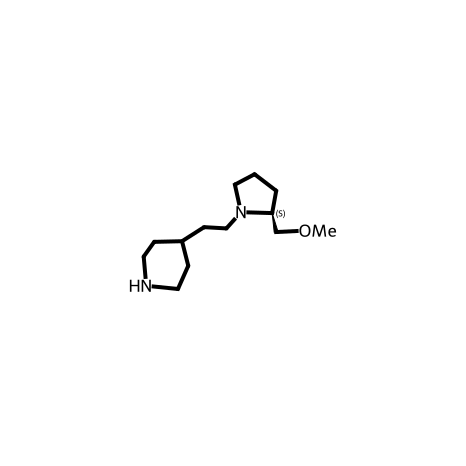 COC[C@@H]1CCCN1CCC1CCNCC1